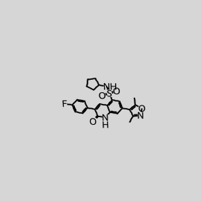 Cc1noc(C)c1-c1cc(S(=O)(=O)NC2CCCC2)c2cc(-c3ccc(F)cc3)c(=O)[nH]c2c1